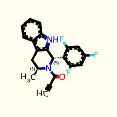 C#CC(=O)N1[C@@H](c2c(F)cc(F)cc2F)c2[nH]c3ccccc3c2C[C@@H]1C